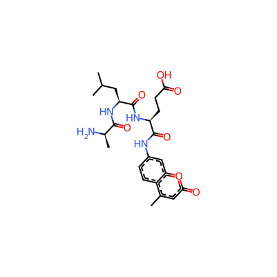 Cc1cc(=O)oc2cc(NC(=O)[C@H](CCC(=O)O)NC(=O)[C@H](CC(C)C)NC(=O)[C@@H](C)N)ccc12